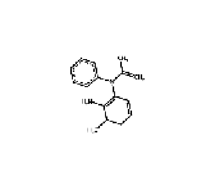 C=C(C)N(C1=C(N)C(C)CC=C1)c1ccccc1